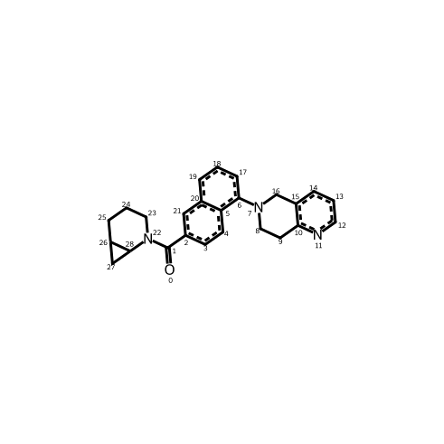 O=C(c1ccc2c(N3CCc4ncccc4C3)cccc2c1)N1CCCC2CC21